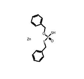 O=P(S)(OCc1ccccc1)SCc1ccccc1.[Zn]